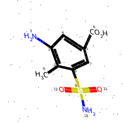 Cc1c(N)cc(C(=O)O)cc1S(N)(=O)=O